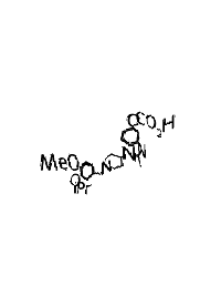 COc1ccc(CN2CCC(n3c(C)nc4cc(OC(=O)O)ccc43)CC2)cc1OC(C)C